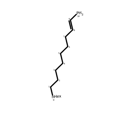 CCCCCCCCCCCCCC=CP